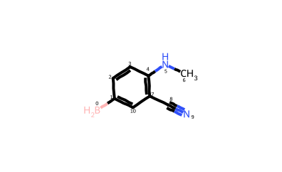 Bc1ccc(NC)c(C#N)c1